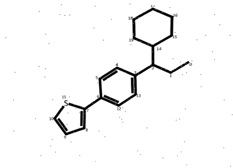 CCC(c1ccc(-c2cccs2)cc1)C1CCCCC1